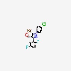 O=Cc1c(-c2cc(F)ccc2F)nn(-c2ccc(Cl)cc2)c1Br